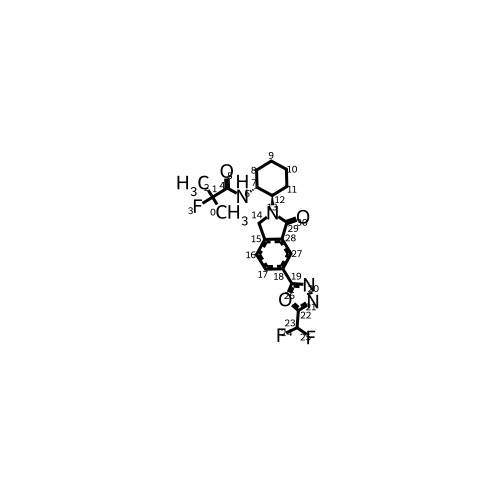 CC(C)(F)C(=O)N[C@@H]1CCCC[C@H]1N1Cc2ccc(-c3nnc(C(F)F)o3)cc2C1=O